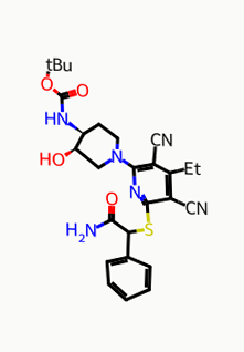 CCc1c(C#N)c(SC(C(N)=O)c2ccccc2)nc(N2CC[C@H](NC(=O)OC(C)(C)C)[C@H](O)C2)c1C#N